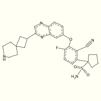 N#Cc1c(C2(S(N)(=O)=O)CCCC2)ccc(F)c1Oc1ccc2ncc(C3CC4(CCNCC4)C3)nc2c1